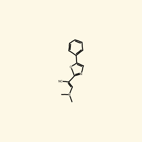 CN(C)C=C(C#N)c1ncc(-c2ccccc2)o1